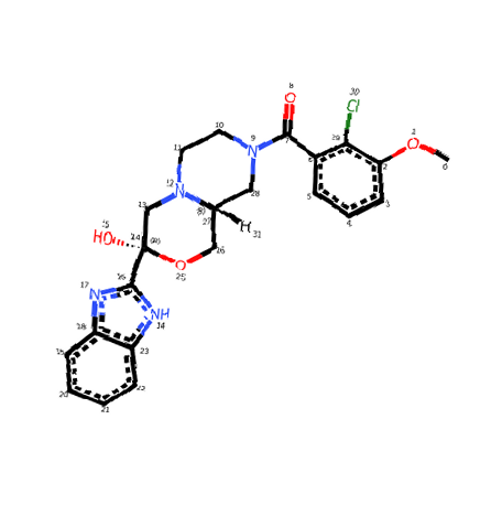 COc1cccc(C(=O)N2CCN3C[C@](O)(c4nc5ccccc5[nH]4)OC[C@H]3C2)c1Cl